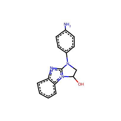 Nc1ccc(N2CC(O)n3c2nc2ccccc23)cc1